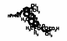 C=C(C)[C@@H]1CC[C@]2(CCCNCCC)CC[C@]3(C)[C@H](CC[C@@H]4[C@@]5(C)CC[C@H](OC(=O)CC(C)(C)CC(=O)O)C(C)(C)[C@@H]5CC[C@]43C)[C@@H]12